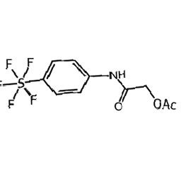 CC(=O)OCC(=O)Nc1ccc(S(F)(F)(F)(F)F)cc1